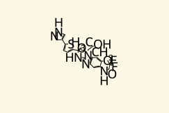 CC(C)(O)Cn1c(NC(=O)c2ccc(-c3cn[nH]c3)s2)nc2cc3c(cc21)OC(F)(F)C(=O)N3